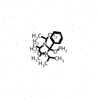 CC(C)N(C(C)C)C(OP)(c1ccccc1)N(C(C)C)C(C)C